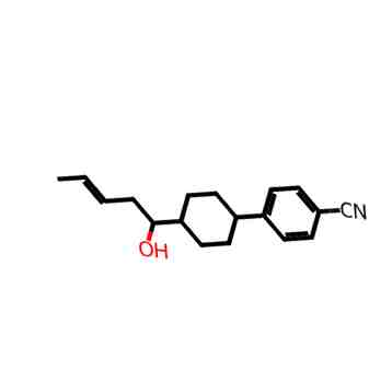 CC=CCC(O)C1CCC(c2ccc(C#N)cc2)CC1